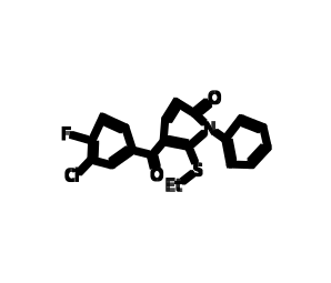 CCSc1c(C(=O)c2ccc(F)c(Cl)c2)ccc(=O)n1-c1ccccc1